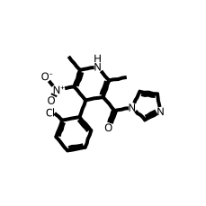 CC1=C(C(=O)n2ccnc2)C(c2ccccc2Cl)C([N+](=O)[O-])=C(C)N1